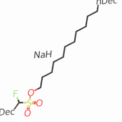 CCCCCCCCCCCCCCCCCCCCCOS(=O)(=O)C(F)CCCCCCCCCC.[NaH]